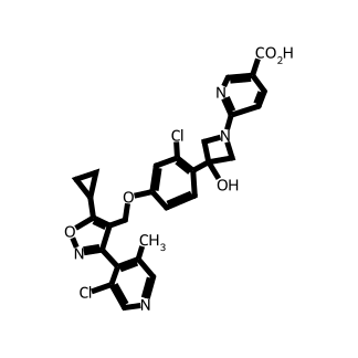 Cc1cncc(Cl)c1-c1noc(C2CC2)c1COc1ccc(C2(O)CN(c3ccc(C(=O)O)cn3)C2)c(Cl)c1